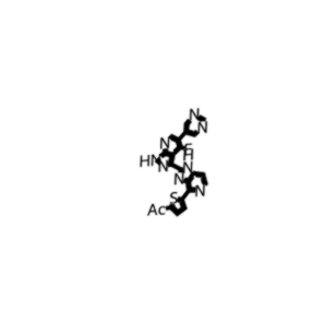 CC(=O)c1ccc(-c2nccc3[nH]c(-c4n[nH]c5ncc(-c6cncnc6)c(F)c45)nc23)s1